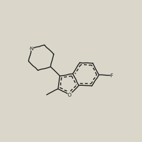 Cc1oc2cc(F)ccc2c1C1CC[N]CC1